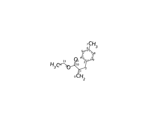 C=C(Cc1ccc(C)cc1)C(=O)OCC